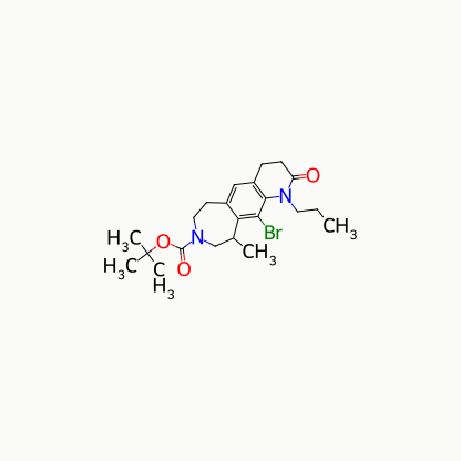 CCCN1C(=O)CCc2cc3c(c(Br)c21)C(C)CN(C(=O)OC(C)(C)C)CC3